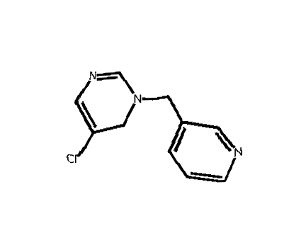 ClC1=CN=CN(Cc2cccnc2)C1